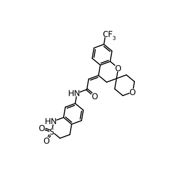 O=C(C=C1CC2(CCOCC2)Oc2cc(C(F)(F)F)ccc21)Nc1ccc2c(c1)NS(=O)(=O)CC2